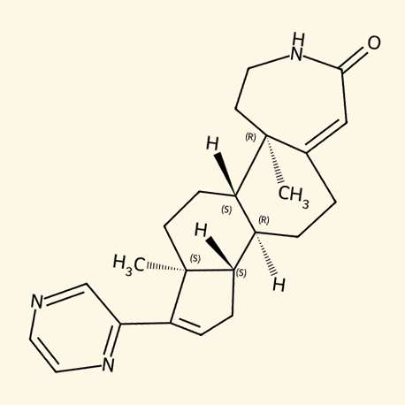 C[C@]12CCNC(=O)C=C1CC[C@@H]1[C@@H]2CC[C@]2(C)C(c3cnccn3)=CC[C@@H]12